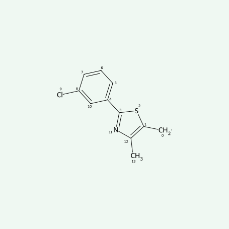 [CH2]c1sc(-c2cccc(Cl)c2)nc1C